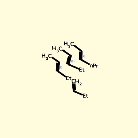 C/C=C/CC.C/C=C/CC.C/C=C/CCC.C=CCC